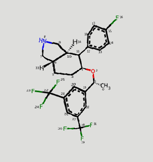 C[C@@H](O[C@H]1CC[C@@H]2CNC[C@H]2C1c1ccc(F)cc1)c1cc(C(F)(F)F)cc(C(F)(F)F)c1